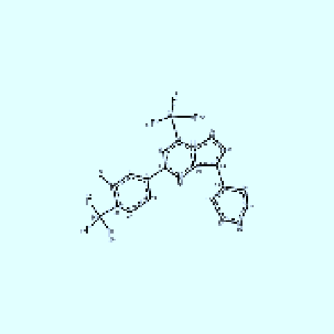 Cc1cc(-c2cc(C(F)(F)F)n3ncc(-c4ccncc4)c3n2)ccc1C(F)(F)F